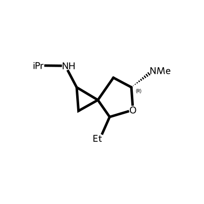 CCC1O[C@@H](NC)CC12CC2NC(C)C